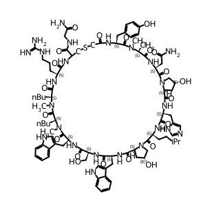 CCCC[C@H]1C(=O)N(C)[C@@H](CCCC)C(=O)N[C@@H](CCCNC(=N)N)C(=O)NC(C(=O)NCC(N)=O)CSCC(=O)N[C@@H](Cc2ccc(O)cc2)C(=O)N(C)[C@@H](C)C(=O)N[C@@H](CC(N)=O)C(=O)N2C[C@H](O)C[C@H]2C(=O)N[C@@H](Cc2cnc[nH]2)C(=O)N[C@@H](CCC(C)C)C(=O)N2C[C@H](O)C[C@H]2C(=O)N[C@@H](Cc2c[nH]c3ccccc23)C(=O)N[C@@H](CO)C(=O)N[C@@H](Cc2c[nH]c3ccccc23)C(=O)N1C